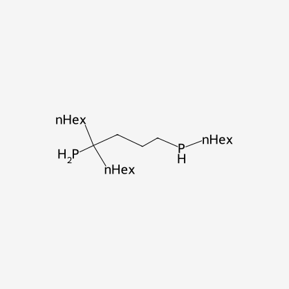 CCCCCCPCCCC(P)(CCCCCC)CCCCCC